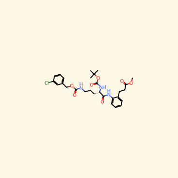 COC(=O)CCc1ccccc1NC(=O)[C@H](CCCNC(=O)OCc1cccc(Cl)c1)NC(=O)OC(C)(C)C